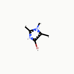 Cc1nc(Br)c(C)n1C